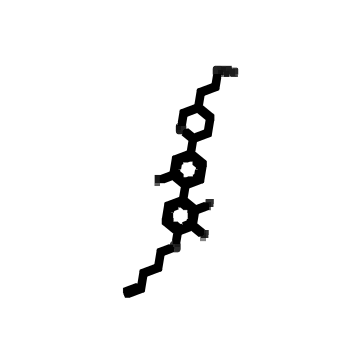 C=CCCCOc1ccc(-c2ccc(C3CCC(CCOC)CO3)cc2F)c(F)c1F